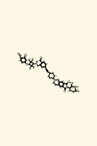 CN(Cc1cc(C#CC2CCC(N3CCc4cc5c(cc4C3)C(=O)N(C3CCC(=O)NC3=O)C5=O)CC2)ccc1C=O)[C@H]1C(C)(C)[C@H](Oc2ccc(C#N)c(Cl)c2)C1(C)C